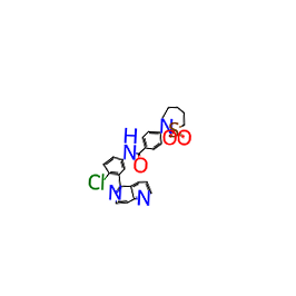 O=C(Nc1ccc(Cl)c(-c2nccc3ncccc23)c1)c1ccc(N2CCCCCS2(=O)=O)cc1